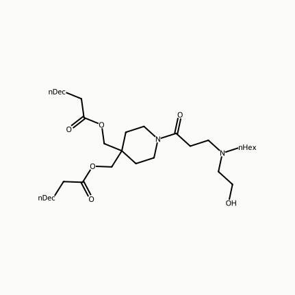 CCCCCCCCCCCC(=O)OCC1(COC(=O)CCCCCCCCCCC)CCN(C(=O)CCN(CCO)CCCCCC)CC1